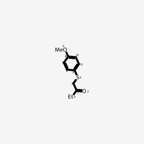 CCC(=O)CSc1ccc(OC)cc1